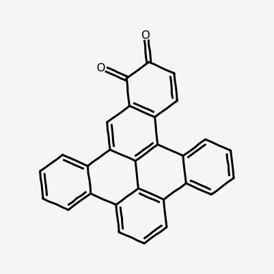 O=c1ccc2c(cc3c4ccccc4c4cccc5c6ccccc6c2c3c45)c1=O